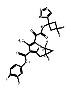 Cc1c(C(=O)Nc2ccc(F)c(F)c2)c2n(c1C(=O)C(=O)NC1(c3cnn[nH]3)CC(F)(F)C1)[C@@H]1C[C@@H]1C2